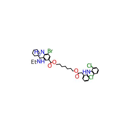 CCNC(c1cc(C(=O)OCCCCCCCOC(=O)Cc2ccccc2Nc2c(Cl)cccc2Cl)cc(Br)c1N)C1CCCCC1